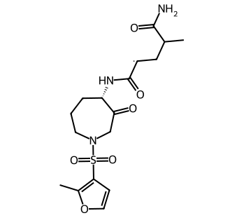 Cc1occc1S(=O)(=O)N1CCC[C@H](NC(=O)[CH]CC(C)C(N)=O)C(=O)C1